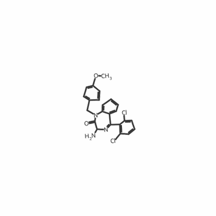 COc1ccc(CN2C(=O)C(N)N=C(c3c(Cl)cccc3Cl)c3ccccc32)cc1